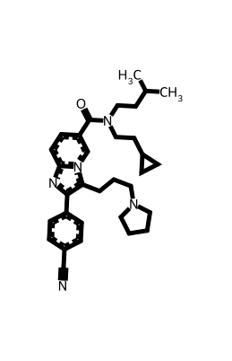 CC(C)CCN(CCC1CC1)C(=O)c1ccc2nc(-c3ccc(C#N)cc3)c(CCCN3CCCC3)n2c1